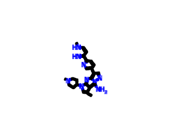 CN/C=C\C(=N)c1ccc(-c2cnn3c(N)c4c(C)cn(C5CCN(C)CC5)c4nc23)cn1